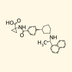 C[C@@H](N[C@H]1CCC[C@H](c2ccc(C(=O)NC3(C(=O)O)CC3)cc2)C1)c1cccc2ccccc12